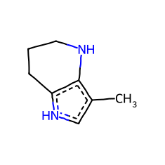 Cc1c[nH]c2c1NCCC2